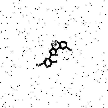 Cc1ccc(Cl)cc1-c1[nH]c(-c2nc(N)ncc2I)cc1C(=O)O